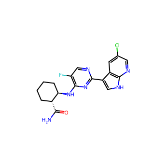 NC(=O)[C@@H]1CCCC[C@H]1Nc1nc(-c2c[nH]c3ncc(Cl)cc23)ncc1F